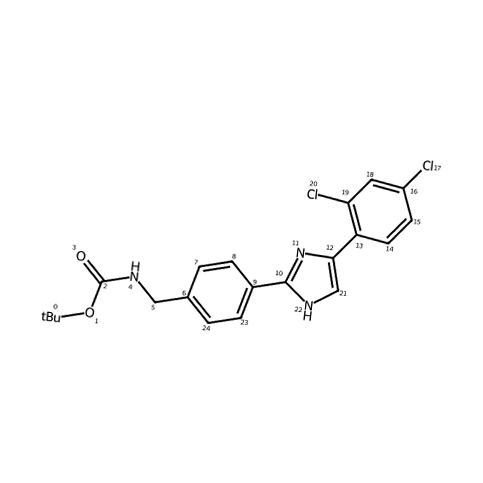 CC(C)(C)OC(=O)NCc1ccc(-c2nc(-c3ccc(Cl)cc3Cl)c[nH]2)cc1